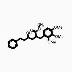 COc1ccc(CC(CC(O)CCc2ccccc2)C(=O)ON)c(OC)c1OC